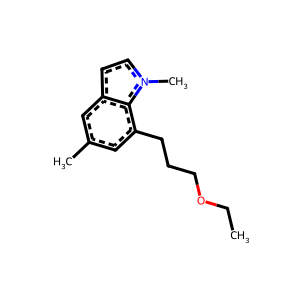 CCOCCCc1cc(C)cc2ccn(C)c12